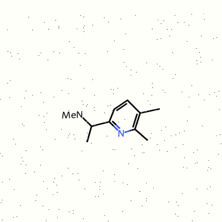 CNC(C)c1ccc(C)c(C)n1